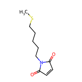 CSCCCCCN1C(=O)C=CC1=O